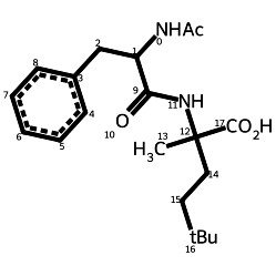 CC(=O)NC(Cc1ccccc1)C(=O)NC(C)(CCC(C)(C)C)C(=O)O